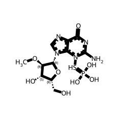 CO[C@@H]1[C@@H](O)[C@@H](CO)O[C@H]1n1cnc2c(=O)nc(N)n([SH]=P(O)(O)O)c21